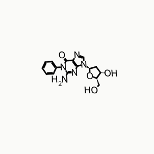 Nc1nc2c(ncn2[C@H]2C[C@H](O)[C@@H](CO)O2)c(=O)n1-c1ccccc1